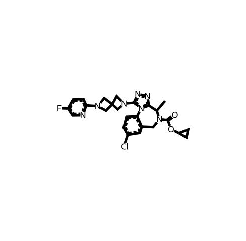 CC1c2nnc(N3CC4(CN(c5ccc(F)cn5)C4)C3)n2-c2ccc(Cl)cc2CN1C(=O)OC1CC1